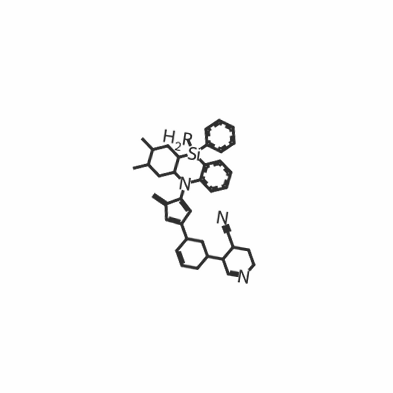 C=C1C=C(C2C=CCC(C3C=NCCC3C#N)C2)C=C1N1c2ccccc2[Si](P)(c2ccccc2)C2CC(C)C(C)CC21